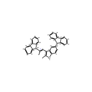 C/C(=C\c1c(C)oc2ccc(-n3c4ccccc4c4ccccc43)cc12)n1c2ccccc2c2ccccc21